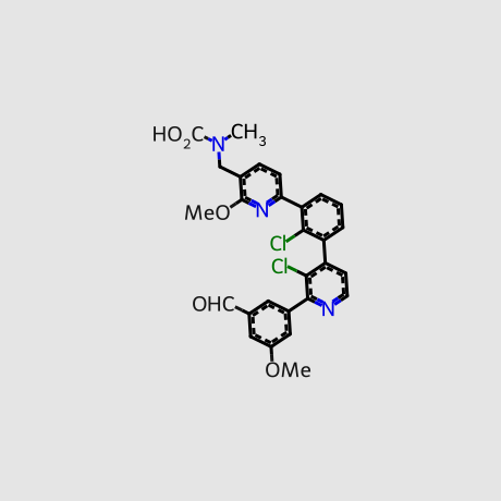 COc1cc(C=O)cc(-c2nccc(-c3cccc(-c4ccc(CN(C)C(=O)O)c(OC)n4)c3Cl)c2Cl)c1